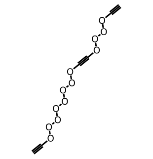 C#COOOOC#COOOOOOOOC#C